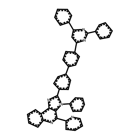 c1ccc(-c2cc(-c3ccc(-c4ccc(-c5nc6c7ccccc7nc(-c7ccccn7)c6n5-c5ccccc5)cc4)cc3)nc(-c3ccccc3)n2)cc1